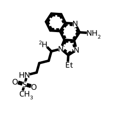 [2H]C(CCCNS(C)(=O)=O)n1c(CC)nc2c(N)nc3ccccc3c21